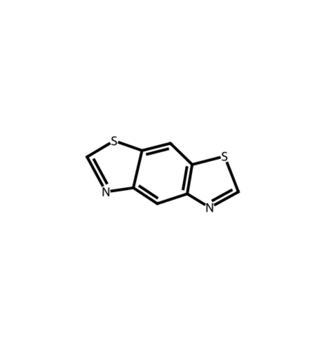 c1nc2cc3ncsc3cc2s1